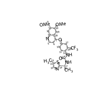 COc1cc2nccc(Oc3ccc(NC(=O)NC(C)c4ncc(C)s4)c(C(F)(F)F)c3)c2cc1OC